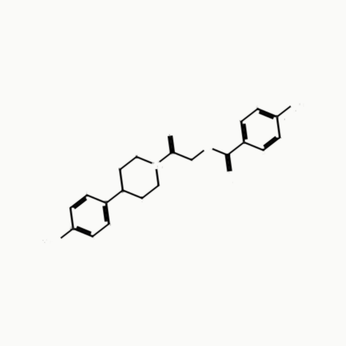 COc1ccc(C2CCN(C(=O)COC(=O)c3ccc(C(C)(C)C)cc3)CC2)cc1